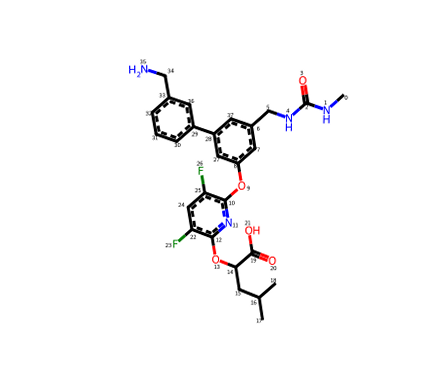 CNC(=O)NCc1cc(Oc2nc(OC(CC(C)C)C(=O)O)c(F)cc2F)cc(-c2cccc(CN)c2)c1